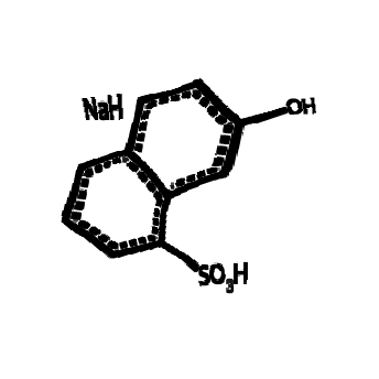 O=S(=O)(O)c1cccc2ccc(O)cc12.[NaH]